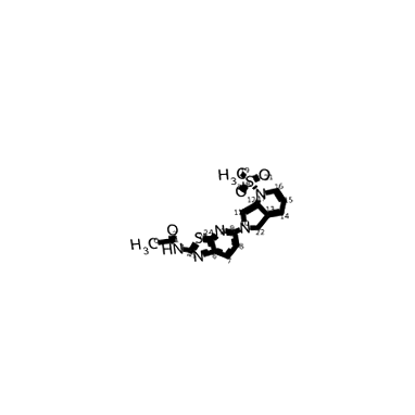 CC(=O)Nc1nc2ccc(N3C=C4C(=CC=CN4S(C)(=O)=O)C3)nc2s1